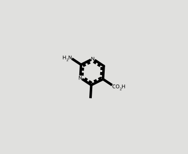 Cc1nc(N)ncc1C(=O)O